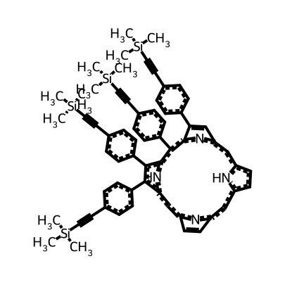 C[Si](C)(C)C#Cc1ccc(C2=Cc3cc4ccc(cc5nc(cc6[nH]c(c(-c7ccc(C#C[Si](C)(C)C)cc7)c2n3)c(-c2ccc(C#C[Si](C)(C)C)cc2)c6-c2ccc(C#C[Si](C)(C)C)cc2)C=C5)[nH]4)cc1